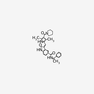 Cc1[nH]c(C=C2C(=O)Nc3ccc(C(=O)N[C@@H](C)c4ccccc4)cc32)c(C)c1C(=O)N1CCCCC1